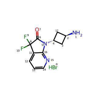 Br.N[C@H]1C[C@H](N2C(=O)C(F)(F)c3cccnc32)C1